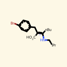 CCCC/C(NCC(C)C)=C(\Cc1ccc(Br)cc1)C(=O)O